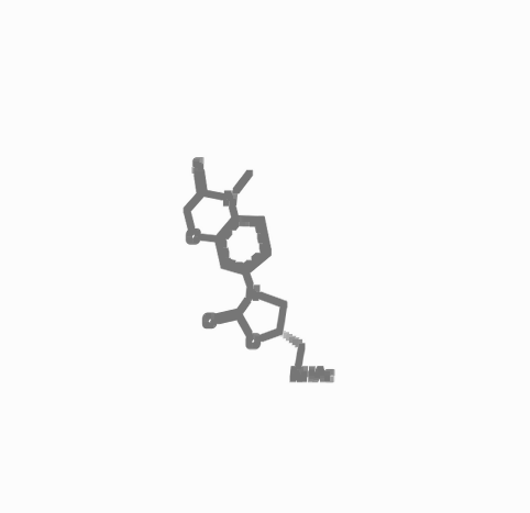 CC(=O)NC[C@H]1CN(c2ccc3c(c2)OCC(=S)N3C)C(=O)O1